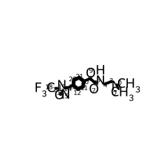 CN(C)CCNC(=O)C(=O)c1ccc(-c2noc(C(F)(F)F)n2)cc1